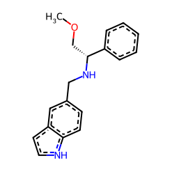 COC[C@@H](NCc1ccc2[nH]ccc2c1)c1ccccc1